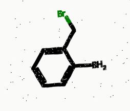 Bc1ccccc1CBr